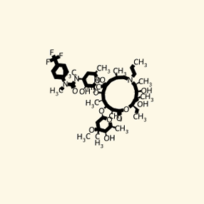 CCCN1C[C@H](C)CC(C)(O)[C@H](O[C@@H]2O[C@H](C)C[C@H](N(C)C(=O)N(C)c3ccc(C(F)(F)F)cc3)[C@H]2O)[C@@H](C)[C@H](O[C@H]2C[C@@](C)(OC)[C@@H](O)[C@H](C)O2)[C@@H](C)C(=O)O[C@H](CC)[C@@](C)(O)[C@H](O)[C@H]1C